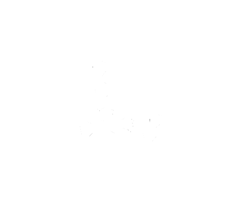 c1ccc(-c2ccc(-c3nc(-c4ccccc4)c4ccc5nc(-c6cccc7ccccc67)ncc5c4n3)cc2)cc1